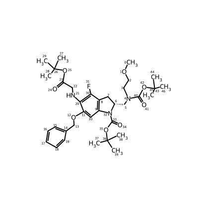 COCCN(C[C@H]1Cc2c(cc(OCc3ccccc3)c(NCC(=O)OC(C)(C)C)c2F)N1C(=O)OC(C)(C)C)C(=O)OC(C)(C)C